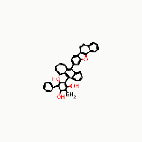 Bc1c(O)c(-c2ccccc2)c(O)c(-c2c3c(c(-c4ccc5c(c4)oc4c6ccccc6ccc54)c4ccccc24)C=CCC=C3)c1O